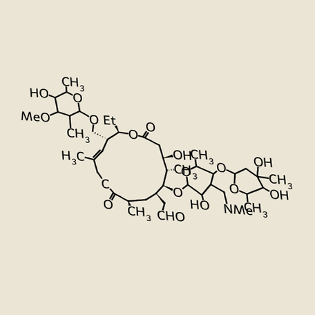 CC[C@H]1OC(=O)C[C@@H](O)[C@H](C)[C@@H](OC2OC(C)C(OC3CC(C)(O)C(O)C(C)O3)C(CNC)C2O)[C@@H](CC=O)C[C@@H](C)C(=O)CC/C(C)=C/[C@@H]1COC1OC(C)C(O)C(OC)C1C